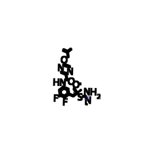 C=C(C)COc1cnc(C(=O)Nc2cc(F)c(F)c(C[C@](C)(COC)S/C(N)=N\C)c2)cn1